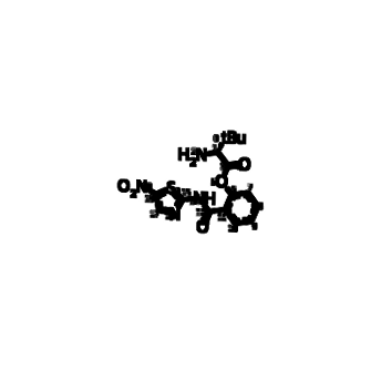 CC(C)(C)[C@H](N)C(=O)Oc1ccccc1C(=O)Nc1ncc([N+](=O)[O-])s1